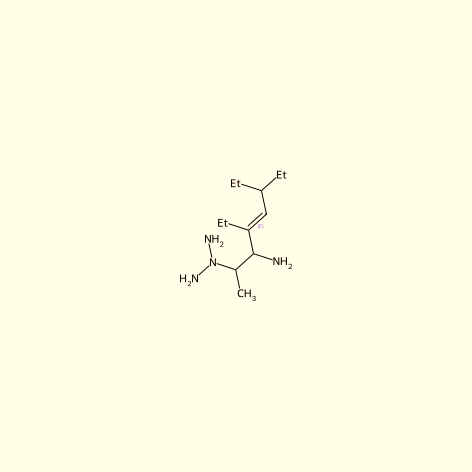 CC/C(=C\C(CC)CC)C(N)C(C)N(N)N